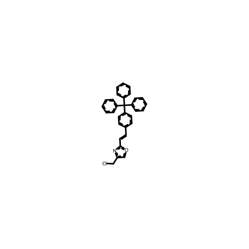 ClCc1coc(C=Cc2ccc(C(c3ccccc3)(c3ccccc3)c3ccccc3)cc2)n1